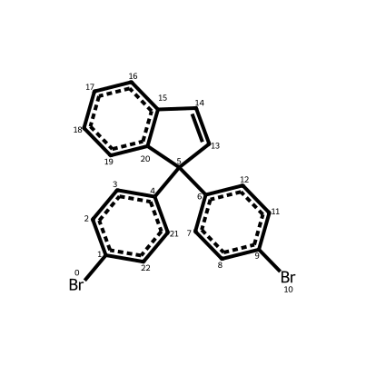 Brc1ccc(C2(c3ccc(Br)cc3)C=Cc3ccccc32)cc1